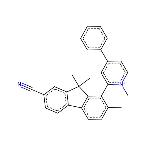 Cc1ccc2c(c1-c1cc(-c3ccccc3)cc[n+]1C)C(C)(C)c1cc(C#N)ccc1-2